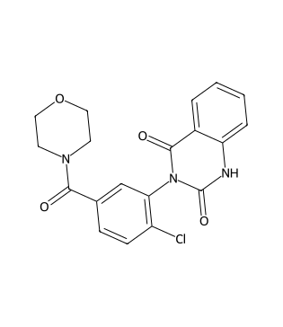 O=C(c1ccc(Cl)c(-n2c(=O)[nH]c3ccccc3c2=O)c1)N1CCOCC1